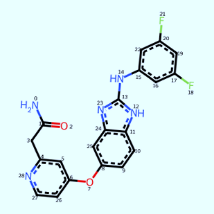 NC(=O)Cc1cc(Oc2ccc3[nH]c(Nc4cc(F)cc(F)c4)nc3c2)ccn1